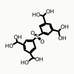 O=S(=O)(c1cc(C(O)O)cc(C(O)O)c1)c1cc(C(O)O)cc(C(O)O)c1